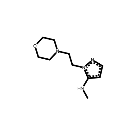 CNc1ccnn1CCN1CCOCC1